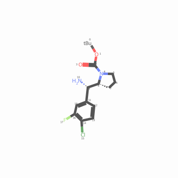 CC(C)(C)OC(=O)N1CCC[C@@H]1[C@@H](N)c1ccc(Cl)c(F)c1